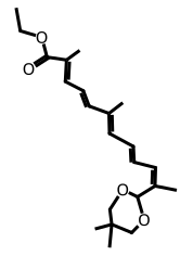 CCOC(=O)/C(C)=C/C=C/C(C)=C/C=C/C=C(/C)C1OCC(C)(C)CO1